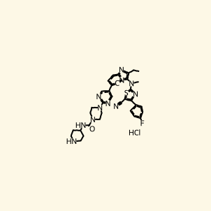 CCc1nc2ccc(-c3cnc(N4CCN(C(=O)NC5CCNCC5)CC4)nc3)cn2c1N(C)c1nc(-c2ccc(F)cc2)c(C#N)s1.Cl